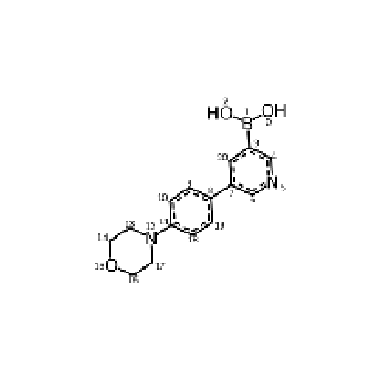 OB(O)c1cncc(-c2ccc(N3CCOCC3)cc2)c1